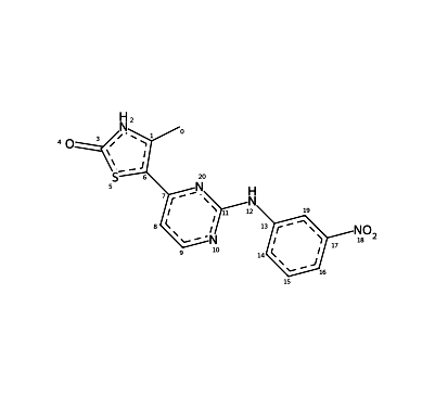 Cc1[nH]c(=O)sc1-c1ccnc(Nc2cccc([N+](=O)[O-])c2)n1